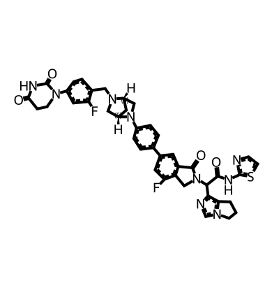 O=C1CCN(c2ccc(CN3C[C@@H]4C[C@H]3CN4c3ccc(-c4cc(F)c5c(c4)C(=O)N(C(C(=O)Nc4nccs4)c4ncn6c4CCC6)C5)cc3)c(F)c2)C(=O)N1